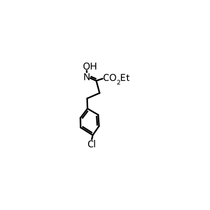 CCOC(=O)C(CCc1ccc(Cl)cc1)=NO